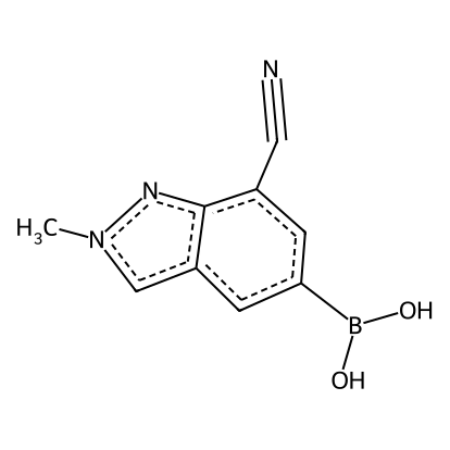 Cn1cc2cc(B(O)O)cc(C#N)c2n1